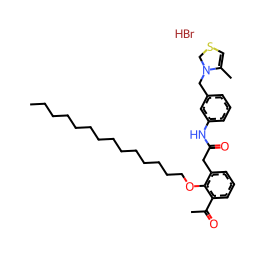 Br.CCCCCCCCCCCCCCOc1c(CC(=O)Nc2cccc(CN3CSC=C3C)c2)cccc1C(C)=O